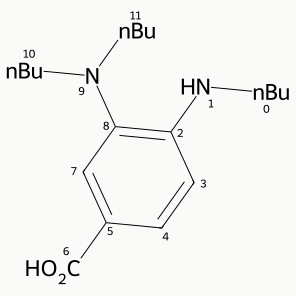 CCCCNc1ccc(C(=O)O)cc1N(CCCC)CCCC